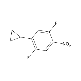 O=[N+]([O-])c1cc(F)c(C2CC2)cc1F